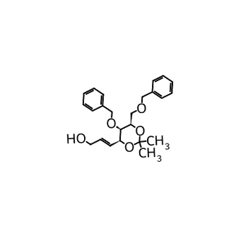 CC1(C)O[C@@H](/C=C/CO)[C@@H](OCc2ccccc2)[C@@H](COCc2ccccc2)O1